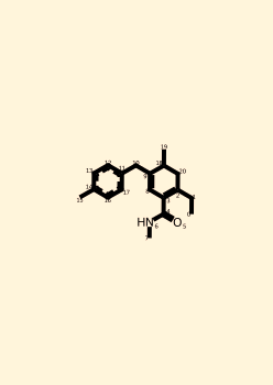 CCC1=C(C(=O)NC)C=C(Cc2ccc(C)cc2)C(C)C1